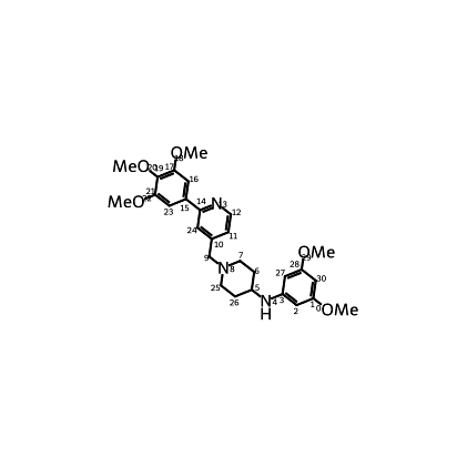 COc1cc(NC2CCN(Cc3ccnc(-c4cc(OC)c(OC)c(OC)c4)c3)CC2)cc(OC)c1